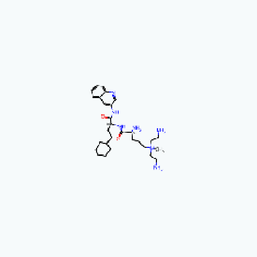 C[N+](CCN)(CCN)CCC[C@H](N)C(=O)N[C@@H](CCC1CCCCC1)C(=O)Nc1cnc2ccccc2c1